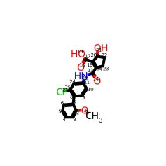 COc1ccccc1-c1ccc(NC(=O)C2=C(C(=O)O)C(O)CC2)cc1Cl